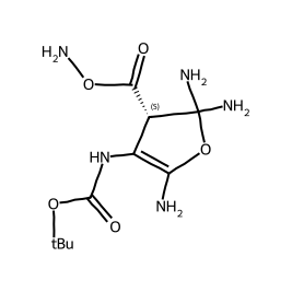 CC(C)(C)OC(=O)NC1=C(N)OC(N)(N)[C@H]1C(=O)ON